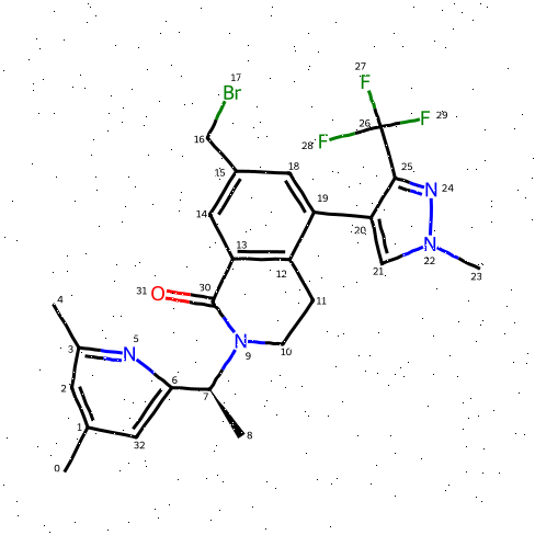 Cc1cc(C)nc([C@H](C)N2CCc3c(cc(CBr)cc3-c3cn(C)nc3C(F)(F)F)C2=O)c1